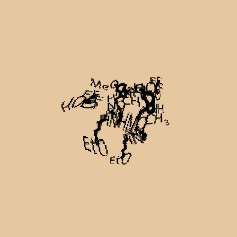 CCC(=O)CCCCC[C@H](NC(=O)Cc1c(C)[nH]c2ccc(OC)cc12)c1ncc[nH]1.CCC(=O)CCCCC[C@H](NC(=O)Cc1c(C)[nH]c2ccc(OC)cc12)c1ncc[nH]1.O=C(O)C(F)(F)F.O=C(O)C(F)(F)F